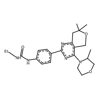 CCNC(=O)Nc1ccc(-c2nc3c(c(N4CCOCC4C)n2)COC(C)(C)C3)cc1